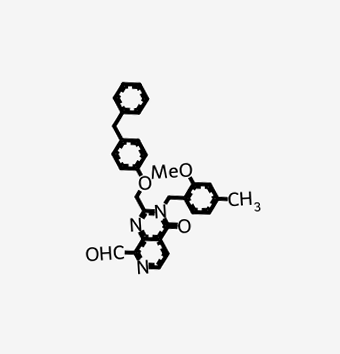 COc1cc(C)ccc1Cn1c(COc2ccc(Cc3ccccc3)cc2)nc2c(C=O)nccc2c1=O